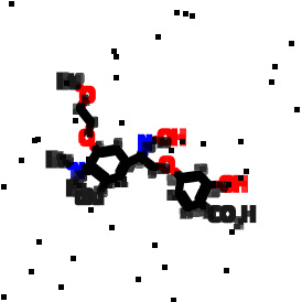 CCOCCOc1cc(/C(COc2ccc(C(=O)O)c(O)c2)=N/O)cc(C(C)(C)C)c1N(CC)CC